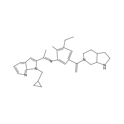 C=C(c1cc(CC)c(C)c(/N=C(\C)c2cc3cccnc3n2CC2CC2)c1)N1CCC2CCNC2C1